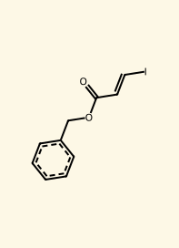 O=C(C=CI)OCc1ccccc1